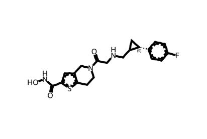 O=C(NO)c1cc2c(s1)CCN(C(=O)CNCC1C[C@@H]1c1ccc(F)cc1)C2